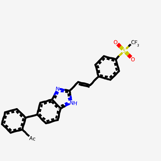 CC(=O)c1ccccc1-c1ccc2[nH]c(C=Cc3ccc(S(=O)(=O)C(F)(F)F)cc3)nc2c1